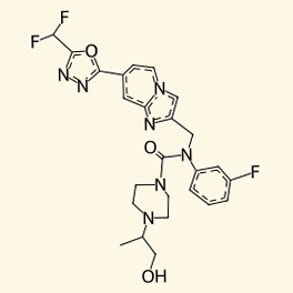 CC(CO)N1CCN(C(=O)N(Cc2cn3ccc(-c4nnc(C(F)F)o4)cc3n2)c2cccc(F)c2)CC1